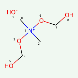 C[N+](C)(OCO)OCO.[OH-]